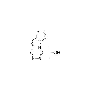 CC(C)(O)c1nncc2cc3sccc3n12